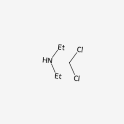 CCNCC.ClCCl